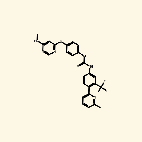 CNc1cc(Oc2ccc(NC(=O)Nc3ccc(-c4cccc(C)n4)c(C(F)(F)F)c3)cc2)ncn1